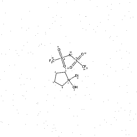 CC[N+]1(O)CCCC1.O=S(=O)([N-]S(=O)(=O)C(F)(F)F)C(F)(F)F